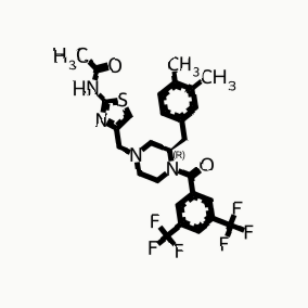 CC(=O)Nc1nc(CN2CCN(C(=O)c3cc(C(F)(F)F)cc(C(F)(F)F)c3)[C@H](Cc3ccc(C)c(C)c3)C2)cs1